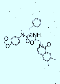 Cc1cc2ccn(CC(=O)N[C@@H](Cc3ccccc3)C(=O)N(C)c3ccc4c(c3)OCO4)c(=O)c2cc1C